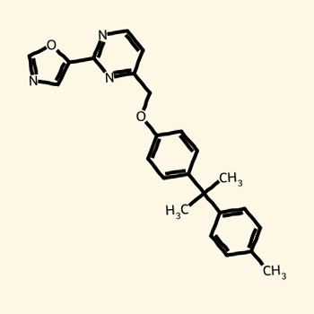 Cc1ccc(C(C)(C)c2ccc(OCc3ccnc(-c4cnco4)n3)cc2)cc1